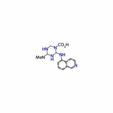 CNC1NCN(C(=O)O)C(Nc2cccc3cnccc23)N1